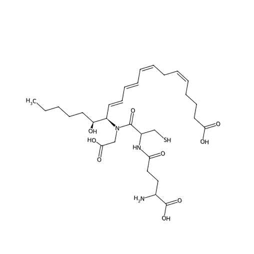 CCCCC[C@H](O)[C@@H](/C=C/C=C/C=C\C/C=C\CCCC(=O)O)N(CC(=O)O)C(=O)C(CS)NC(=O)CCC(N)C(=O)O